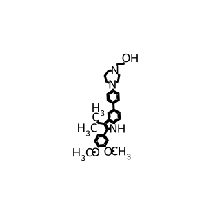 COc1ccc(-c2[nH]c3ccc(-c4ccc(N5CCCN(CCO)CC5)cc4)cc3c2C(C)C)cc1OC